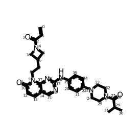 C=CC(=O)N1CC(CCn2c(=O)ccc3cnc(Nc4ccc(N5CCN(C(=O)C(C)C)CC5)cc4)nc32)C1